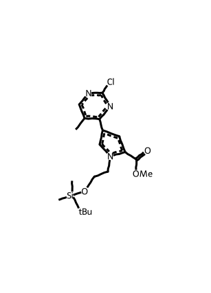 COC(=O)c1cc(-c2nc(Cl)ncc2C)cn1CCO[Si](C)(C)C(C)(C)C